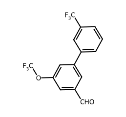 O=Cc1cc(OC(F)(F)F)cc(-c2cccc(C(F)(F)F)c2)c1